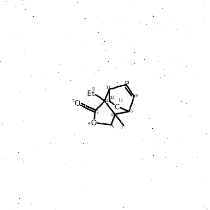 CCC12C(=O)OCC1(C)C1C=CC2CC1